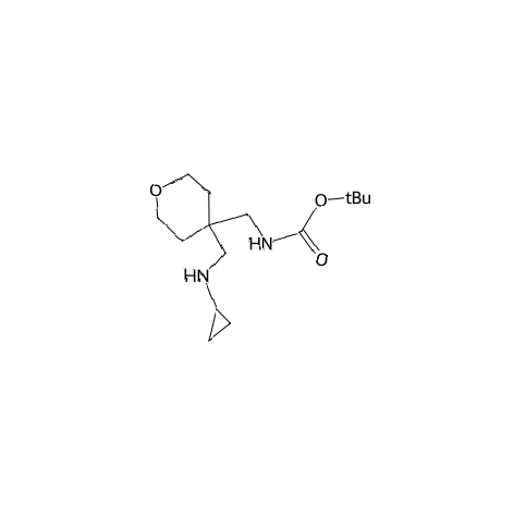 CC(C)(C)OC(=O)NCC1(CNC2CC2)CCOCC1